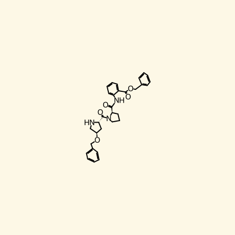 O=C(OCc1ccccc1)c1ccccc1NC(=O)[C@H]1CCCN1C(=O)[C@@H]1C[C@@H](OCc2ccccc2)CN1